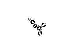 CC1CCN(c2nc(-c3nc(N4CCOCC4)nc(N4CCOCC4)n3)cs2)CC1